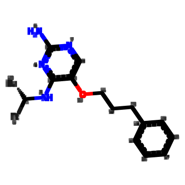 CCC(Nc1nc(N)ncc1OCCCc1ccccc1)[C@@H](C)CC